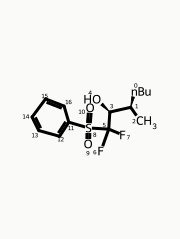 CCCC[C@@H](C)[C@H](O)C(F)(F)S(=O)(=O)c1ccccc1